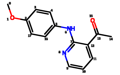 COc1ccc(Nc2ncccc2C(C)=O)cc1